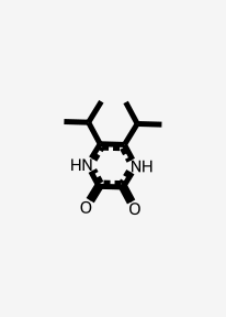 CC(C)c1[nH]c(=O)c(=O)[nH]c1C(C)C